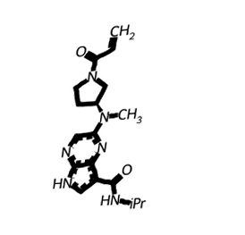 C=CC(=O)N1CC[C@H](N(C)c2cnc3[nH]cc(C(=O)NC(C)C)c3n2)C1